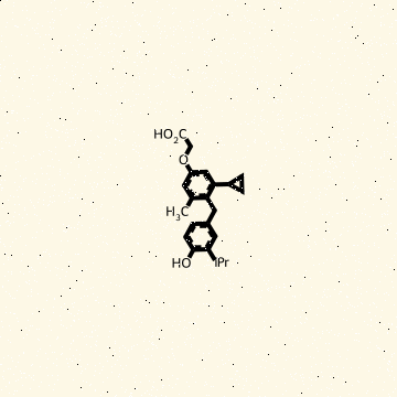 Cc1cc(OCC(=O)O)cc(C2CC2)c1Cc1ccc(O)c(C(C)C)c1